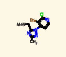 CNCc1nc(C)nn1-c1ccnc(Cl)c1Br